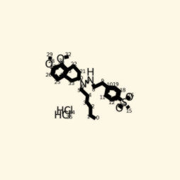 CCCCCCN(NCCc1ccc(S(C)(=O)=O)cc1)C1CCc2c(ccc(OC)c2OC)C1.Cl.Cl